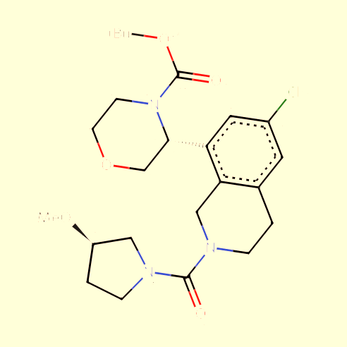 CO[C@@H]1CCN(C(=O)N2CCc3cc(Cl)cc([C@@H]4COCCN4C(=O)OC(C)(C)C)c3C2)C1